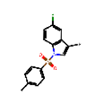 Cc1ccc(S(=O)(=O)n2cc(C(C)C)c3cc(Br)ccc32)cc1